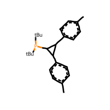 Cc1ccc(C2C(c3ccc(C)cc3)C2P(C(C)(C)C)C(C)(C)C)cc1